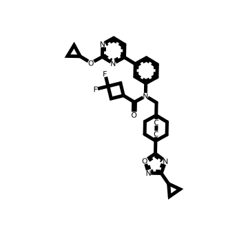 O=C(C1CC(F)(F)C1)N(CC12CCC(c3nc(C4CC4)no3)(CC1)CC2)c1cccc(-c2ccnc(OC3CC3)n2)c1